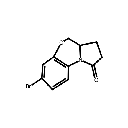 O=C1CCC2COc3cc(Br)ccc3N12